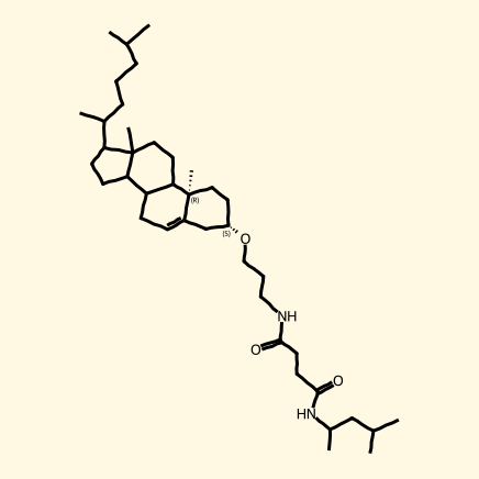 CC(C)CCCC(C)C1CCC2C3CC=C4C[C@@H](OCCCNC(=O)CCC(=O)NC(C)CC(C)C)CC[C@]4(C)C3CCC12C